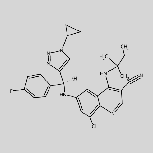 [2H][C@](Nc1cc(Cl)c2ncc(C#N)c(NC(C)(C)CC)c2c1)(c1ccc(F)cc1)c1cn(C2CC2)nn1